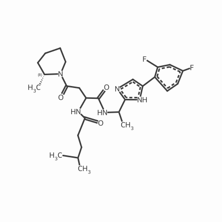 CC(C)CCC(=O)NC(CC(=O)N1CCCC[C@H]1C)C(=O)NC(C)c1ncc(-c2ccc(F)cc2F)[nH]1